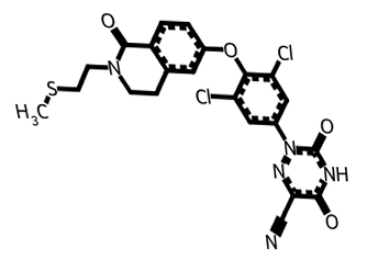 CSCCN1CCc2cc(Oc3c(Cl)cc(-n4nc(C#N)c(=O)[nH]c4=O)cc3Cl)ccc2C1=O